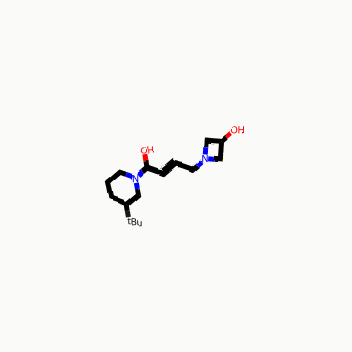 CC(C)(C)C1CCCN(C(O)/C=C/CN2CC(O)C2)C1